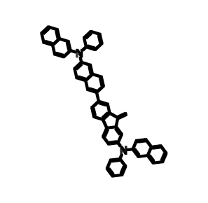 C=C1c2cc(-c3ccc4cc(N(c5ccccc5)c5ccc6ccccc6c5)ccc4c3)ccc2-c2ccc(N(c3ccccc3)c3ccc4ccccc4c3)cc21